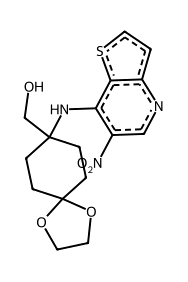 O=[N+]([O-])c1cnc2ccsc2c1NC1(CO)CCC2(CC1)OCCO2